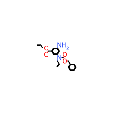 C=CCOC(=O)c1cc(N)cc(N(CC=C)C(=O)OCc2ccccc2)c1